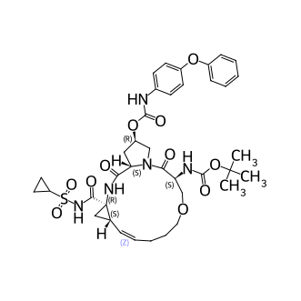 CC(C)(C)OC(=O)N[C@H]1COCCC/C=C\[C@@H]2C[C@@]2(C(=O)NS(=O)(=O)C2CC2)NC(=O)[C@@H]2C[C@@H](OC(=O)Nc3ccc(Oc4ccccc4)cc3)CN2C1=O